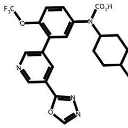 CC1CCC(N(C(=O)O)c2ccc(OC(F)(F)F)c(-c3cncc(-c4nnco4)c3)c2)CC1